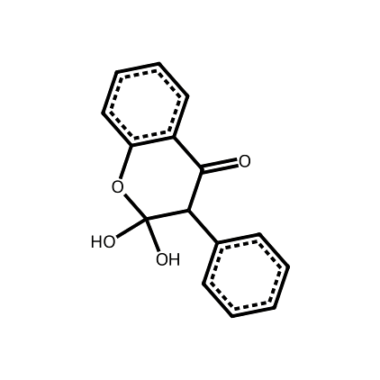 O=C1c2ccccc2OC(O)(O)C1c1ccccc1